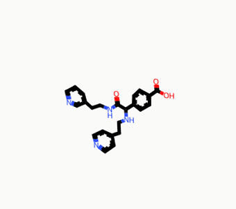 O=C(O)c1ccc(C(NCCc2ccncc2)C(=O)NCCc2cccnc2)cc1